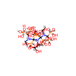 CCN(C(P(=O)(O)O)P(=O)(O)O)C(N([C@@H](C)C(=O)O)C(N(CC)C(P(=O)(O)O)P(=O)(O)O)(P(=O)(O)O)P(=O)(O)O)(P(=O)(O)O)P(=O)(O)O